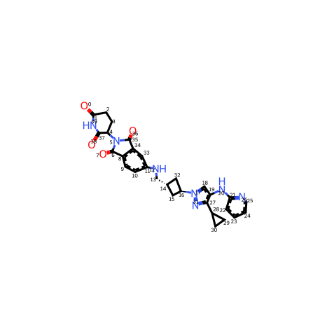 O=C1CCC(N2C(=O)c3ccc(NC[C@H]4C[C@H](n5cc(Nc6ccccn6)c(C6CC6)n5)C4)cc3C2=O)C(=O)N1